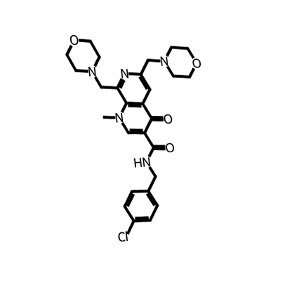 Cn1cc(C(=O)NCc2ccc(Cl)cc2)c(=O)c2cc(CN3CCOCC3)nc(CN3CCOCC3)c21